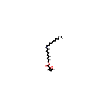 CCCCCCCC/C=C\CCCCCCCCOC(=O)c1ccco1